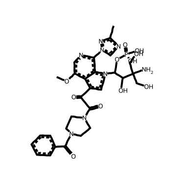 COc1cnc(-n2cnc(C)n2)c2c1c(C(=O)C(=O)N1CCN(C(=O)c3ccccc3)CC1)cn2C(OP(=O)(O)O)C(O)C(N)(CO)CO